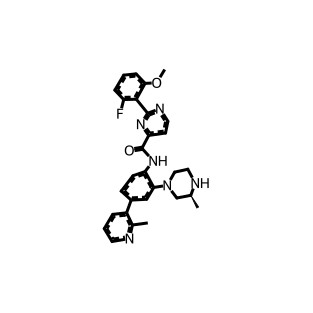 COc1cccc(F)c1-c1nccc(C(=O)Nc2ccc(-c3cccnc3C)cc2N2CCN[C@@H](C)C2)n1